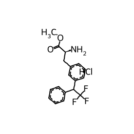 COC(=O)[C@@H](N)Cc1cccc(C(c2ccccc2)C(F)(F)F)c1.Cl